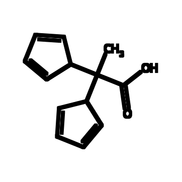 CC(C(=O)O)(C1C=CC=C1)C1C=CC=C1